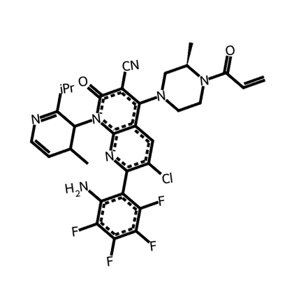 C=CC(=O)N1CCN(c2c(C#N)c(=O)n(C3C(C(C)C)=NC=CC3C)c3nc(-c4c(N)c(F)c(F)c(F)c4F)c(Cl)cc23)C[C@H]1C